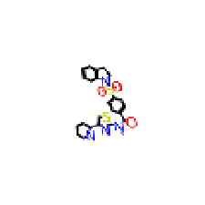 CN(C(=O)c1ccc(S(=O)(=O)N2CCc3ccccc32)cc1)c1nc(-c2ccccn2)cs1